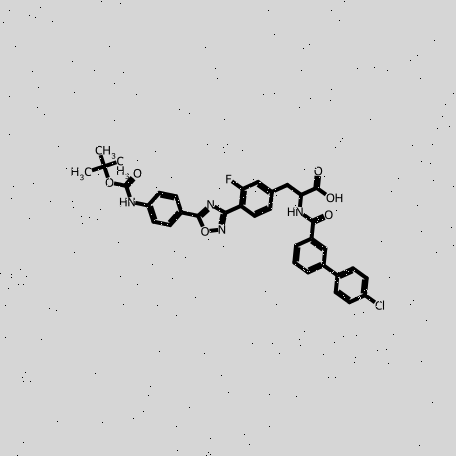 CC(C)(C)OC(=O)Nc1ccc(-c2nc(-c3ccc(CC(NC(=O)c4cccc(-c5ccc(Cl)cc5)c4)C(=O)O)cc3F)no2)cc1